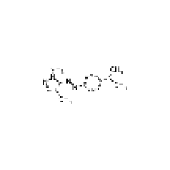 CN(C)c1ccc(N=NC2N(C)C=NN2C)cc1